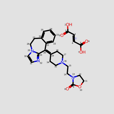 O=C(O)/C=C/C(=O)O.O=C1OCCN1CCN1CCC(=C2c3ccccc3CCn3ccnc32)CC1